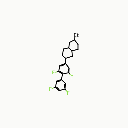 CCC1CCC2CC(c3cc(F)c(-c4cc(F)cc(F)c4)c(F)c3)CCC2C1